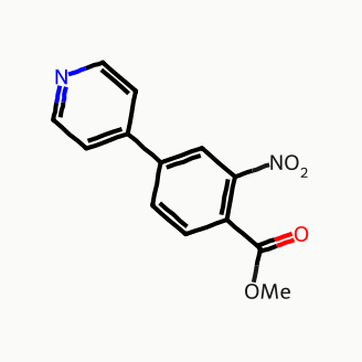 COC(=O)c1ccc(-c2ccncc2)cc1[N+](=O)[O-]